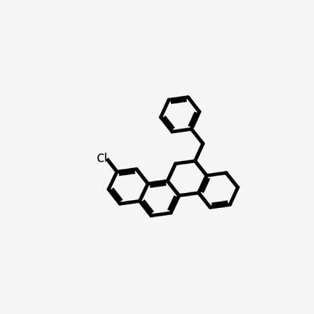 Clc1ccc2ccc3c(c2c1)CC(Cc1ccccc1)C1=C3C=CCC1